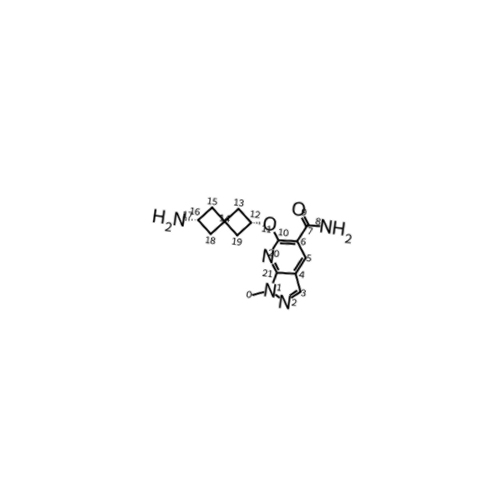 Cn1ncc2cc(C(N)=O)c(O[C@H]3CC4(C[C@@H](N)C4)C3)nc21